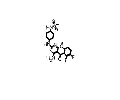 COc1ccc(F)c(F)c1C(=O)c1cnc(NC2CCC(NS(C)(=O)=O)CC2)nc1N